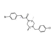 C[C@@H]1CN(Cc2ccc(Cl)cc2)[C@@H](C)CN1C(=O)/C=C/c1ccc(Br)cc1